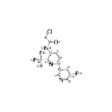 O=C(CCl)Nc1ccc(-c2cncc(F)c2)nc1C(F)(F)F